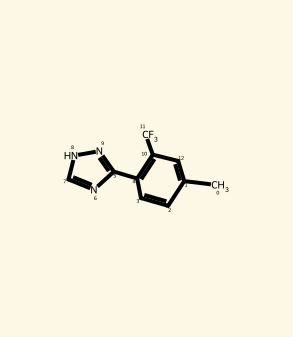 Cc1ccc(-c2nc[nH]n2)c(C(F)(F)F)c1